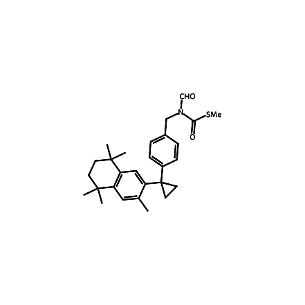 CSC(=O)N(C=O)Cc1ccc(C2(c3cc4c(cc3C)C(C)(C)CCC4(C)C)CC2)cc1